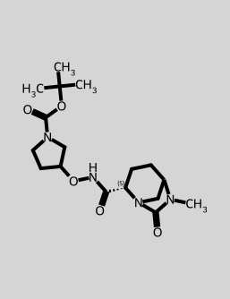 CN1C(=O)N2CC1CC[C@H]2C(=O)NOC1CCN(C(=O)OC(C)(C)C)C1